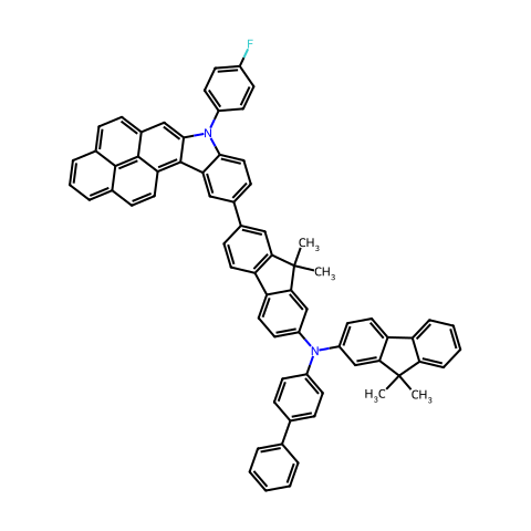 CC1(C)c2ccccc2-c2ccc(N(c3ccc(-c4ccccc4)cc3)c3ccc4c(c3)C(C)(C)c3cc(-c5ccc6c(c5)c5c7ccc8cccc9ccc(cc5n6-c5ccc(F)cc5)c7c98)ccc3-4)cc21